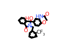 O=C1COc2ccc(C3(O)c4ccccc4C(=O)N3Cc3ccccc3C(F)(F)F)cc2N1